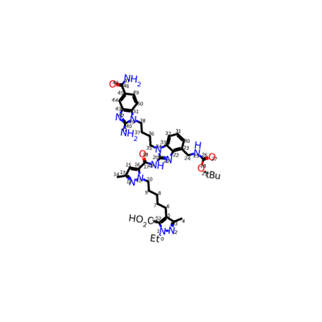 CCn1nc(C)c(CCCCCn2nc(C)cc2C(=O)Nc2nc3c(CNC(=O)OC(C)(C)C)cccc3n2CCCCn2c(N)nc3cc(C(N)=O)ccc32)c1C(=O)O